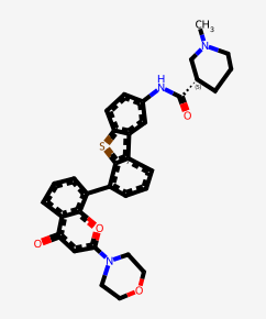 CN1CCC[C@H](C(=O)Nc2ccc3sc4c(-c5cccc6c(=O)cc(N7CCOCC7)oc56)cccc4c3c2)C1